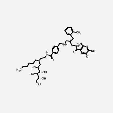 CCCCCCN(CCNC(=O)c1ccc(CNCC(CNC(=O)c2nc(Cl)c(N)nc2N)Cc2ccccc2C)cc1)C[C@H](O)[C@@H](O)[C@H](O)[C@H](O)CO